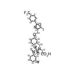 Cc1oc(-c2ccc(C(F)(F)F)cc2)nc1COc1cccc(CN(CC(=O)O)S(=O)(=O)N(C)c2cccc(F)c2)c1